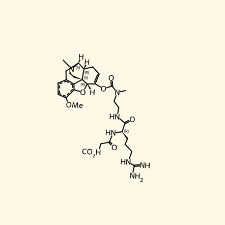 COc1ccc2c3c1O[C@H]1C(OC(=O)N(C)CCNC(=O)[C@@H](CCCNC(=N)N)NC(=O)CC(=O)O)=CC[C@H]4[C@@H](C2)N(C)CC[C@]314